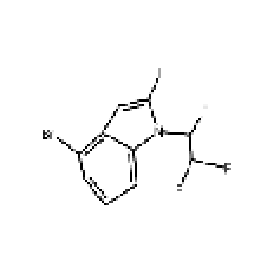 FC(F)C(F)n1c(I)cc2c(Br)cccc21